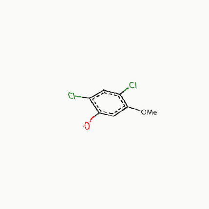 COc1cc([O])c(Cl)cc1Cl